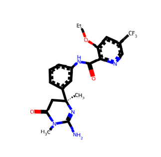 CCOc1cc(C(F)(F)F)cnc1C(=O)Nc1cccc([C@]2(C)CC(=O)N(C)C(N)=N2)c1